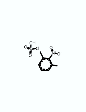 Cc1cccc(C)c1[N+](=O)[O-].O=S(=O)(O)Cl